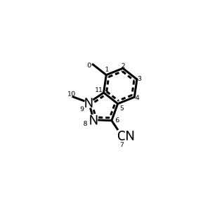 Cc1cccc2c(C#N)nn(C)c12